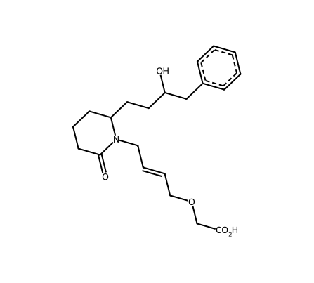 O=C(O)COCC=CCN1C(=O)CCCC1CCC(O)Cc1ccccc1